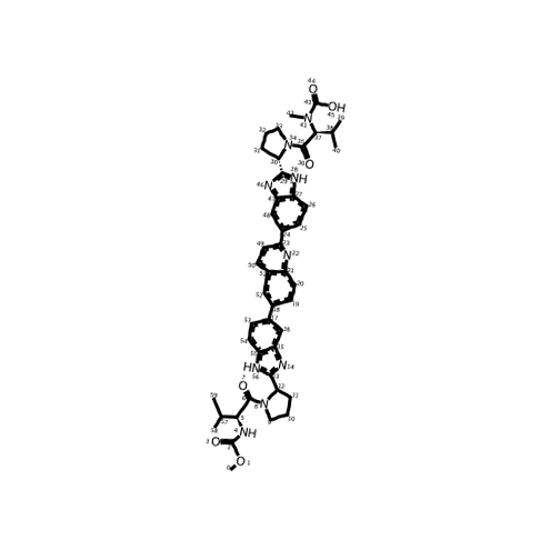 COC(=O)N[C@H](C(=O)N1CCCC1c1nc2cc(-c3ccc4nc(-c5ccc6[nH]c([C@@H]7CCCN7C(=O)[C@H](C(C)C)N(C)C(=O)O)nc6c5)ccc4c3)ccc2[nH]1)C(C)C